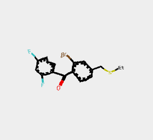 CCSCc1ccc(C(=O)c2ccc(F)cc2F)c(Br)c1